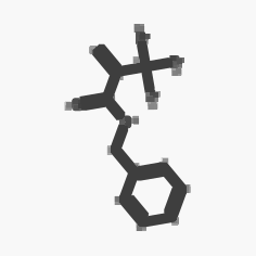 C=C(C(=O)OCc1ccccc1)C(Br)(Br)Br